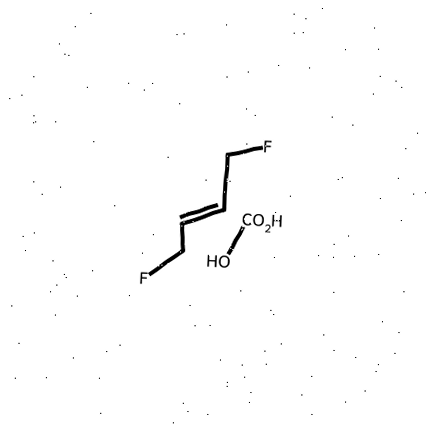 FCC=CCF.O=C(O)O